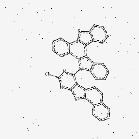 Clc1nc(-n2c3ccccc3c3c4c5ccccc5sc4c4ccccc4c32)c2c(n1)sc1c3ccccc3ccc12